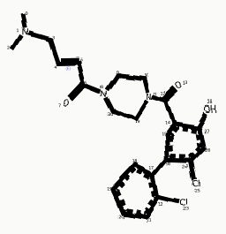 CN(C)C/C=C/C(=O)N1CCN(C(=O)c2cc(-c3ccccc3Cl)c(Cl)cc2O)CC1